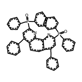 O=P(c1ccccc1)(c1ccccc1)c1cc(-c2ccccc2)c2ccc3c(-c4ccccc4)cc(P(=O)(c4ccccc4)c4ccccc4)nc3c2n1